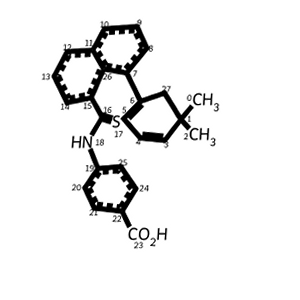 CC1(C)C=CC=C(c2cccc3cccc(C(=S)Nc4ccc(C(=O)O)cc4)c23)C1